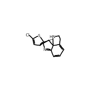 Clc1ccc([C@H]2NCCC3=CC=CC4=NCCC342)s1